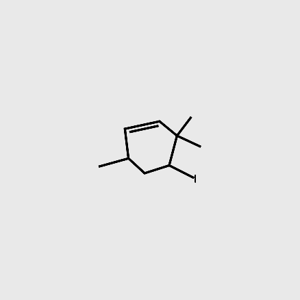 CC1C=CC(C)(C)C(I)C1